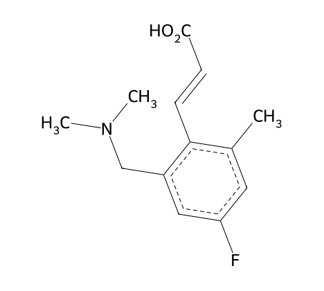 Cc1cc(F)cc(CN(C)C)c1/C=C/C(=O)O